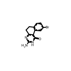 Nc1nc2c(c(=O)[nH]1)-c1cc(Br)ccc1CC2